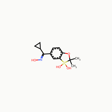 CC1(C)Oc2ccc(C(=NO)C3CC3)cc2S1(O)O